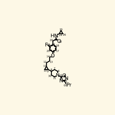 CC(C)c1noc(N2CCC(C3CC3CCCOc3ccc(CC(=O)NC4CC4)c(F)c3)CC2)n1